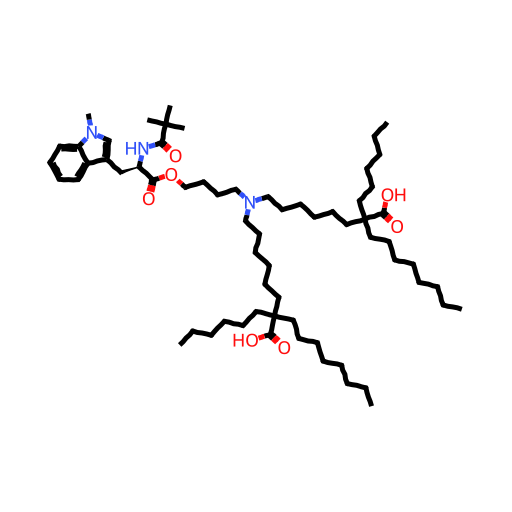 CCCCCCCCC(CCCCCC)(CCCCCCN(CCCCCCC(CCCCCC)(CCCCCCCC)C(=O)O)CCCCOC(=O)[C@@H](Cc1cn(C)c2ccccc12)NC(=O)C(C)(C)C)C(=O)O